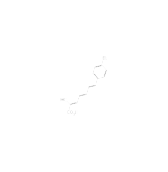 CCc1ccc(/C=C/C=C/C=C(\C#N)C(=O)O)cc1